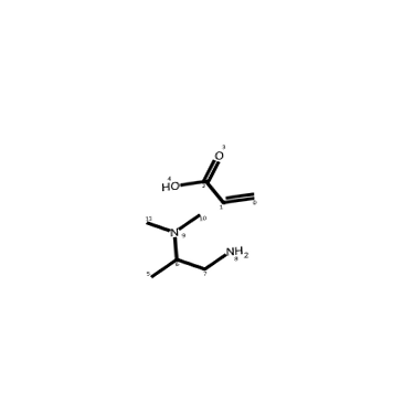 C=CC(=O)O.CC(CN)N(C)C